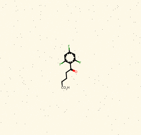 O=C(O)CCCC(=O)c1c(F)cc(F)cc1F